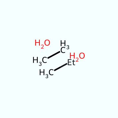 CC.CCC.O.O